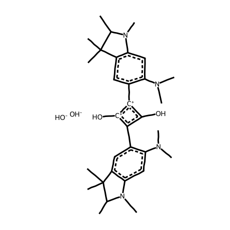 CC1N(C)c2cc(N(C)C)c(-c3c(O)[c+](-c4cc5c(cc4N(C)C)N(C)C(C)C5(C)C)[c+]3O)cc2C1(C)C.[OH-].[OH-]